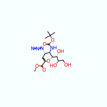 COC(=O)C1=C[C@H](N=[N+]=[N-])[C@@H](NC(=O)OC(C)(C)C)[C@H]([C@H](O)[C@H](O)CO)O1